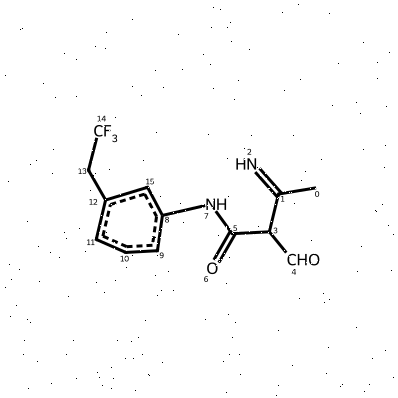 CC(=N)C(C=O)C(=O)Nc1cccc(CC(F)(F)F)c1